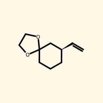 C=C[C@H]1CCCC2(C1)OCCO2